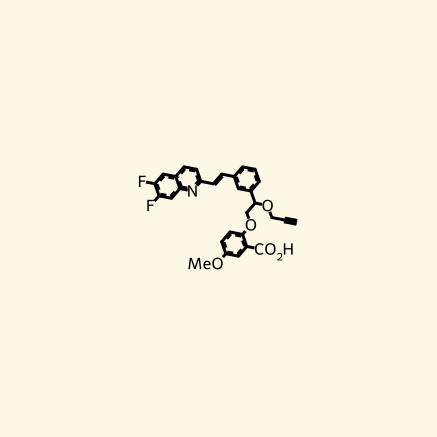 C#CCOC(COc1ccc(OC)cc1C(=O)O)c1cccc(/C=C/c2ccc3cc(F)c(F)cc3n2)c1